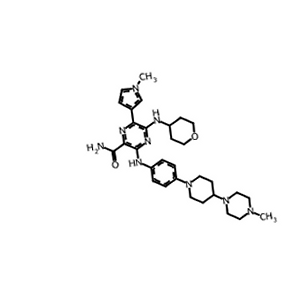 CN1CCN(C2CCN(c3ccc(Nc4nc(NC5CCOCC5)c(-c5ccn(C)c5)nc4C(N)=O)cc3)CC2)CC1